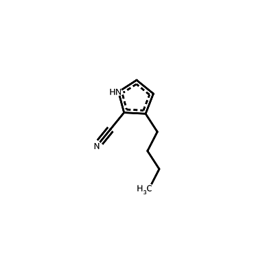 CCCCc1cc[nH]c1C#N